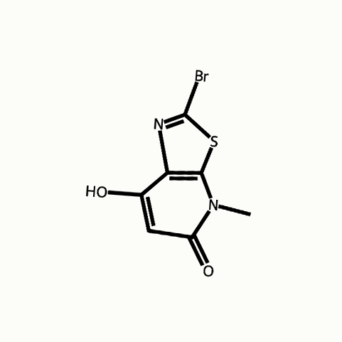 Cn1c(=O)cc(O)c2nc(Br)sc21